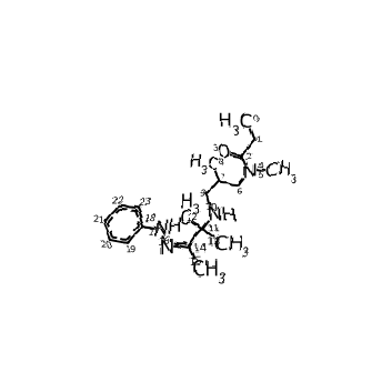 CCC(=O)N(C)CC(C)CNC(C)(C)C(C)=NNc1ccccc1